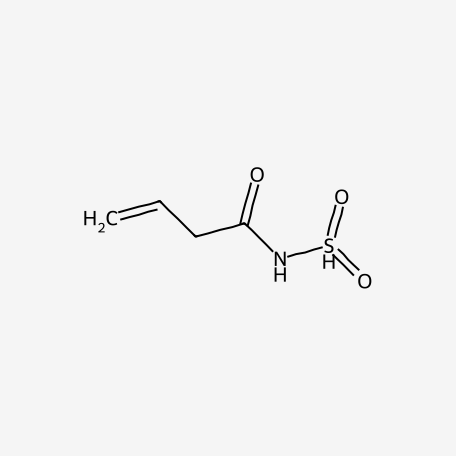 C=CCC(=O)N[SH](=O)=O